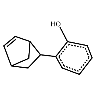 Oc1ccccc1C1CC2C=CC1C2